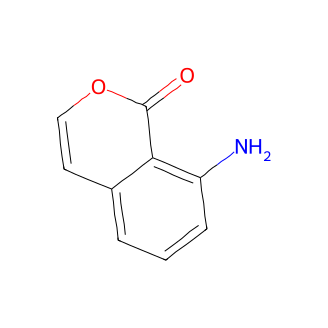 Nc1cccc2ccoc(=O)c12